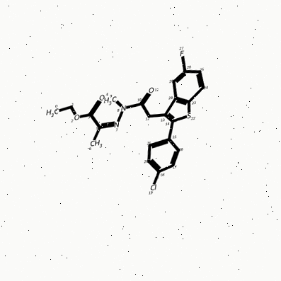 CCOC(=O)C(C)=NN(C)C(=O)Cc1c(-c2ccc(Cl)cc2)sc2ccc(F)cc12